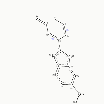 C=C/C=C(\C=C/C)c1nc2ccc(OC)cc2o1